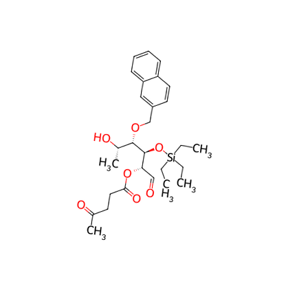 CC[Si](CC)(CC)O[C@H]([C@@H](OCc1ccc2ccccc2c1)[C@H](C)O)[C@H](C=O)OC(=O)CCC(C)=O